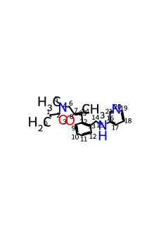 C=CC(=O)N(C)Cc1oc2cccc(CNc3cccnc3)c2c1C